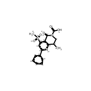 CC1CN(C(=O)O)C(=O)c2c(S(C)(=O)=O)cc(-c3ccccc3)nc21